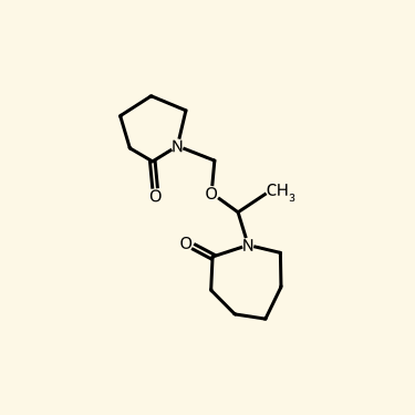 CC(OCN1CCCCC1=O)N1CCCCCC1=O